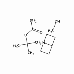 C1CN2CCC12.CC(C)(C)OC(N)=O.CO